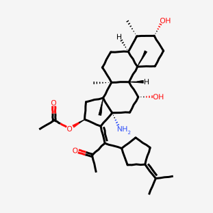 CC(=O)O[C@H]1C[C@@]2(C)[C@@](N)(C[C@@H](O)[C@H]3[C@@]4(C)CC[C@@H](O)[C@@H](C)[C@@H]4CC[C@@]32C)/C1=C(/C(C)=O)C1CCC(=C(C)C)C1